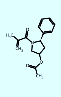 C=C(C)C(=O)N1CC(OC(C)=O)C[C@@H]1c1ccccc1